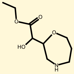 CCOC(=O)C(O)C1CNCCCO1